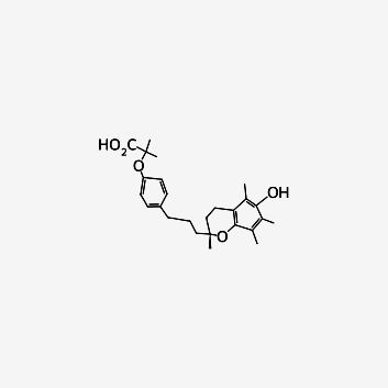 Cc1c(C)c2c(c(C)c1O)CC[C@@](C)(CCCc1ccc(OC(C)(C)C(=O)O)cc1)O2